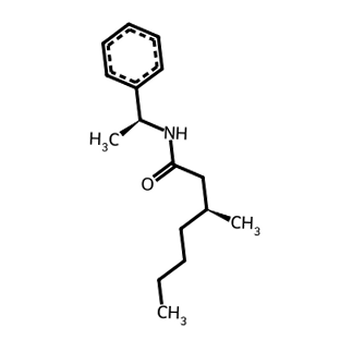 CCCC[C@H](C)CC(=O)N[C@@H](C)c1ccccc1